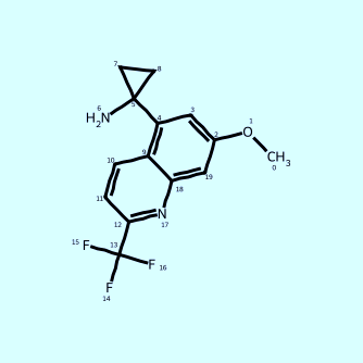 COc1cc(C2(N)CC2)c2ccc(C(F)(F)F)nc2c1